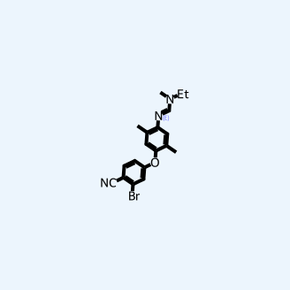 CCN(C)/C=N/c1cc(C)c(Oc2ccc(C#N)c(Br)c2)cc1C